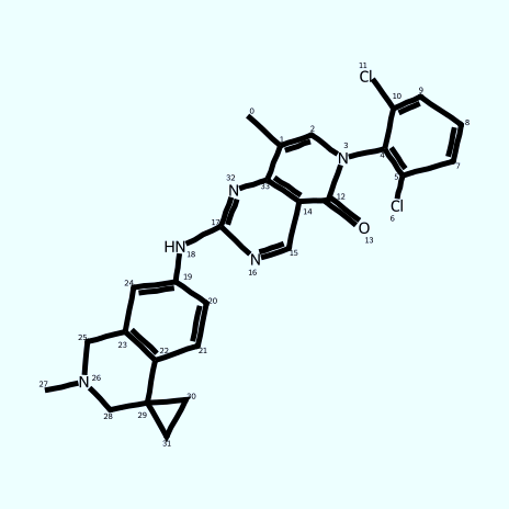 Cc1cn(-c2c(Cl)cccc2Cl)c(=O)c2cnc(Nc3ccc4c(c3)CN(C)CC43CC3)nc12